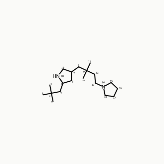 CC(C)(C)CC1CC(CC(C)(C)CCN2CCCC2)CN1